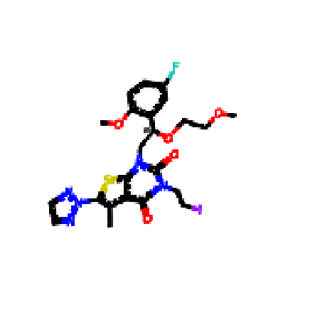 COCCO[C@@H](Cn1c(=O)n(CCI)c(=O)c2c(C)c(-n3nccn3)sc21)c1cc(F)ccc1OC